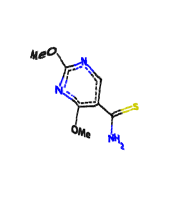 COc1ncc(C(N)=S)c(OC)n1